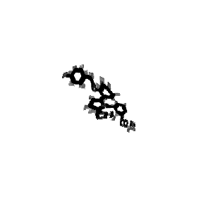 CCOC(=O)c1cccc(N2C(c3ccccc3OCc3ccc(F)cc3)=CCC2C)c1